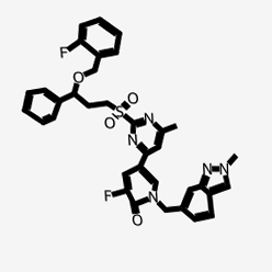 Cc1cc(-c2cc(F)c(=O)n(Cc3ccc4cn(C)nc4c3)c2)nc(S(=O)(=O)CCC(OCc2ccccc2F)c2ccccc2)n1